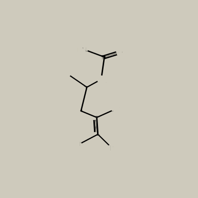 CC(CC(I)=C(Br)I)OC(N)=O